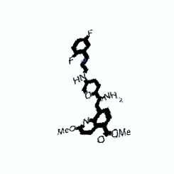 COC(=O)c1ccc(C[C@H](N)C2CCC(NC/C=C/c3cc(F)ccc3F)CO2)c2nc(OC)ccc12